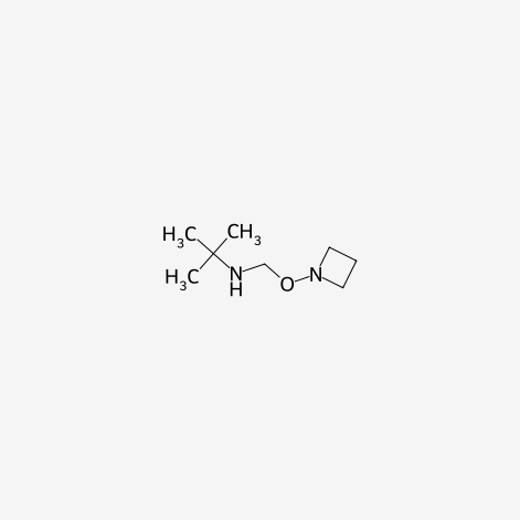 CC(C)(C)NCON1CCC1